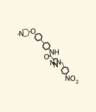 CN1CCC(Oc2ccc(-c3ccc(NC(=O)c4cn(Cc5ccc([N+](=O)[O-])cc5)nn4)cc3)cc2)CC1